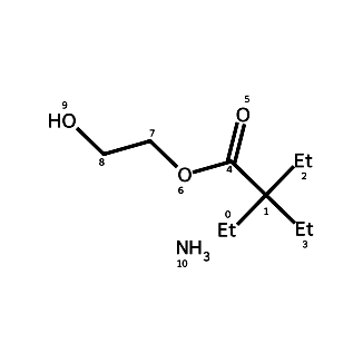 CCC(CC)(CC)C(=O)OCCO.N